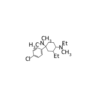 CCC1CC(c2ccc(Cl)cc2)(N(C)C)CCC1N(C)CC